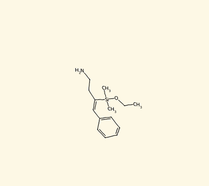 CCO[Si](C)(C)C(=Cc1ccccc1)CCN